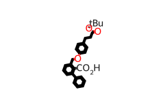 CC(C)(C)OC(=O)CCc1ccc(OCc2cccc(-c3ccccc3)c2C(=O)O)cc1